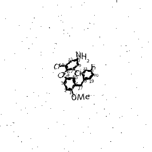 COc1ccc(Oc2c(Cl)cc(N)cc2Cl)cc1Cc1ccc(F)cc1